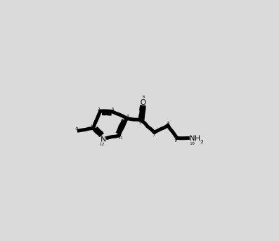 Cc1ccc(C(=O)CCCN)cn1